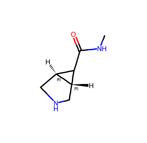 CNC(=O)C1[C@@H]2CNC[C@@H]12